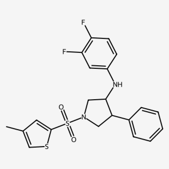 Cc1csc(S(=O)(=O)N2CC(Nc3ccc(F)c(F)c3)C(c3ccccc3)C2)c1